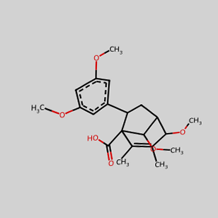 COc1cc(OC)cc(C2CC3C(OC)C(C)=C(C)C2(C(=O)O)C3OC)c1